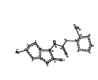 CC(=O)c1ccc2c(c1)oc(=O)n2NC(=O)Cc1ccccc1C